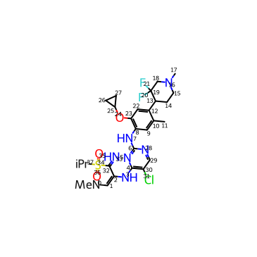 CN/C=C(/Nc1nc(Nc2cc(C)c(C3CCN(C)CC3(F)F)cc2OC2CC2)ncc1Cl)C(=N)S(=O)(=O)C(C)C